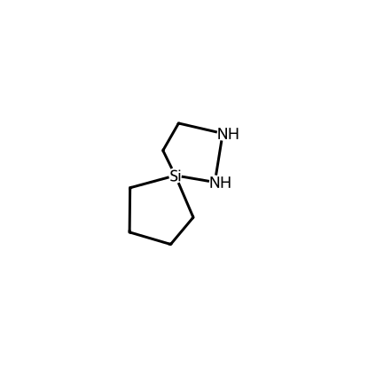 C1CC[Si]2(C1)CCNN2